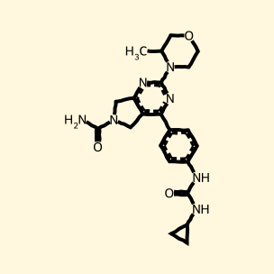 CC1COCCN1c1nc2c(c(-c3ccc(NC(=O)NC4CC4)cc3)n1)CN(C(N)=O)C2